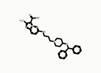 Cc1nc2ccc(NCCCN3CCC(OC(c4ccccc4)c4ccccc4)CC3)nn2c1C(=O)O